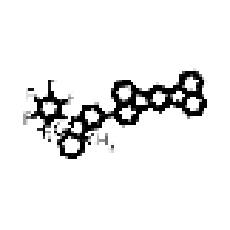 CC12CCCCC1(C)N(c1c(F)c(F)c(F)c(F)c1F)c1ccc(-c3ccc4c5cc6c(cc5c5cccc3c54)c3cccc4cccc6c43)cc12